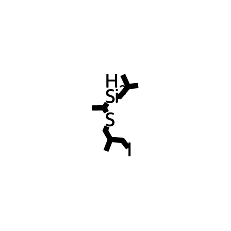 CC(C)C[SiH2]C(C)SCC(C)CI